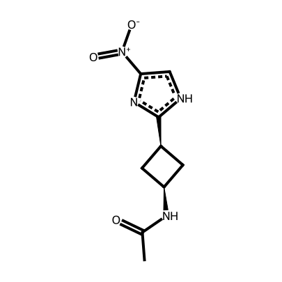 CC(=O)N[C@H]1C[C@@H](c2nc([N+](=O)[O-])c[nH]2)C1